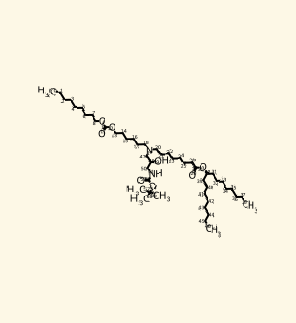 CCCCCCCCCOC(=O)OCCCCCCN(CCCCCCCC(=O)OC(CCCCCCCC)CCCCCCCC)CC(O)CNC(=O)OC(C)(C)C